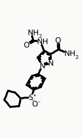 NC(=O)Nc1cn(-c2ccc([S+]([O-])C3CCCCC3)cc2)nc1C(N)=O